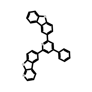 c1ccc(-c2cc(-c3ccc4oc5ccccc5c4c3)nc(-c3ccc4oc5ncccc5c4c3)c2)cc1